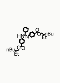 CCCCC(CC)COC(=O)c1ccc(/N=C(/Nc2ccc(C(=O)OCC(CC)CCCC)cc2)c2ccccc2)cc1